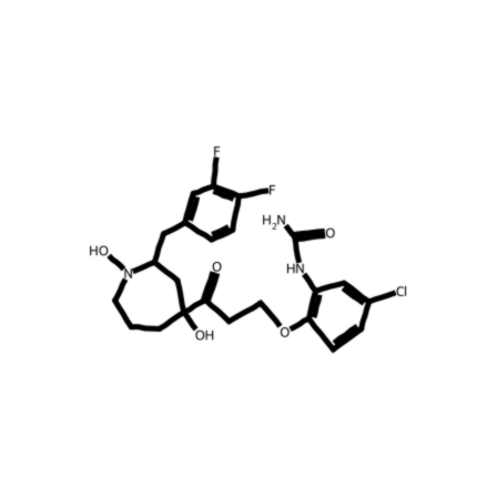 NC(=O)Nc1cc(Cl)ccc1OCCC(=O)C1(O)CCCN(O)C(Cc2ccc(F)c(F)c2)C1